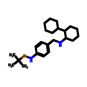 CC(C)(C)SNc1ccc(CNC2CCCCC2C2CCCCC2)cc1